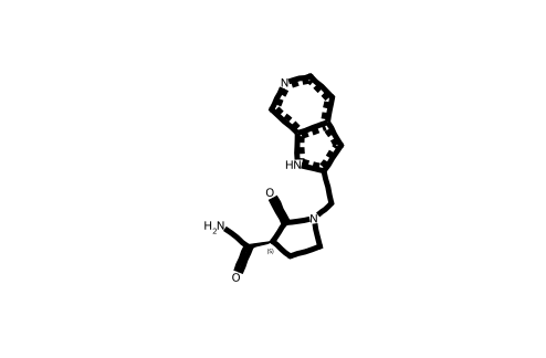 NC(=O)[C@@H]1CCN(Cc2cc3ccncc3[nH]2)C1=O